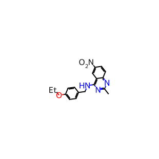 CCOc1ccc(CNc2nc(C)nc3ccc([N+](=O)[O-])cc23)cc1